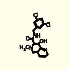 CN1C=C2C=CCN=C2C(O)=C1C(=O)NCc1cc(Cl)cc(Cl)c1